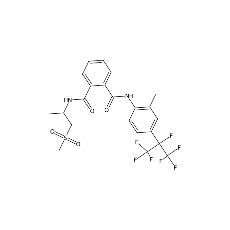 Cc1cc(C(F)(C(F)(F)F)C(F)(F)F)ccc1NC(=O)c1ccccc1C(=O)NC(C)CS(C)(=O)=O